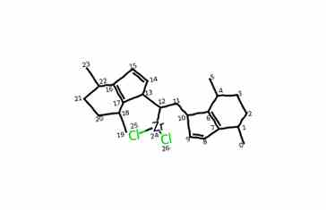 CC1CCC(C)C2=C1C=CC2C[CH](C1C=CC2=C1C(C)CCC2C)[Zr]([Cl])[Cl]